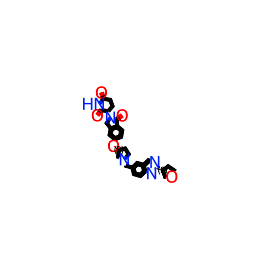 O=C1CCC(N2Cc3cc(O[C@@H]4CCN(Cc5ccc6nc([C@@H]7CCOC7)ncc6c5)C4)ccc3C2=O)C(=O)N1